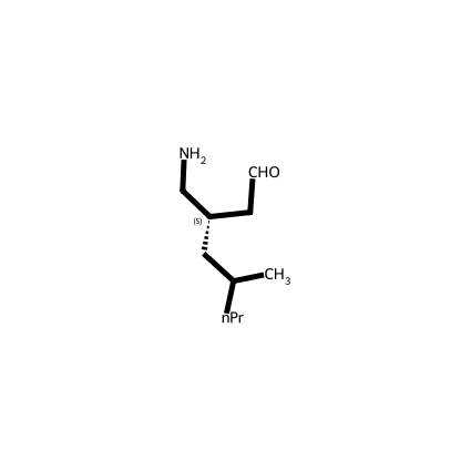 CCCC(C)C[C@H](CN)CC=O